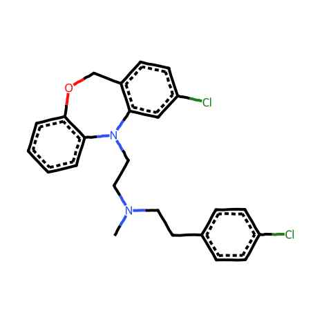 CN(CCc1ccc(Cl)cc1)CCN1c2cc(Cl)ccc2COc2ccccc21